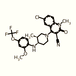 COc1cc(OC(F)(F)F)ccc1N[C@@H]1CCN(c2c(C#N)c(=O)n(C)c3ccc(Cl)cc23)C[C@@H]1C